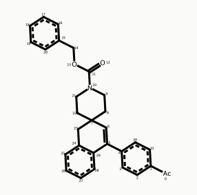 CC(=O)c1ccc(C2=CC3(CCN(C(=O)OCc4ccccc4)CC3)Cc3ccccc32)cc1